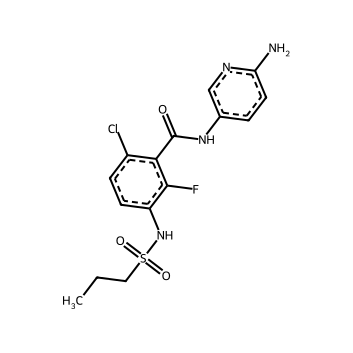 CCCS(=O)(=O)Nc1ccc(Cl)c(C(=O)Nc2ccc(N)nc2)c1F